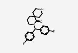 O=C1N(C(c2ccc(F)cc2)c2ccc(F)cc2)CCCC12CCNCC2